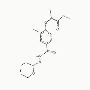 COC(=O)C(C)Oc1ccc(C(=O)NOC2CCCCO2)cc1C